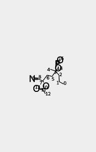 CCCC(C)(CCC(C#N)OC(C)=O)OP=O